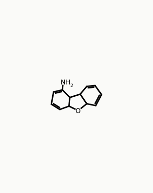 NC1=CC=CC2OC3C=CC=CC3C12